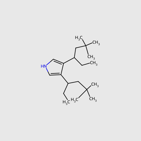 CCC(CC(C)(C)C)c1c[nH]cc1C(CC)CC(C)(C)C